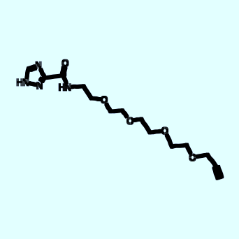 C#CCOCCOCCOCCOCCNC(=O)c1nc[nH]n1